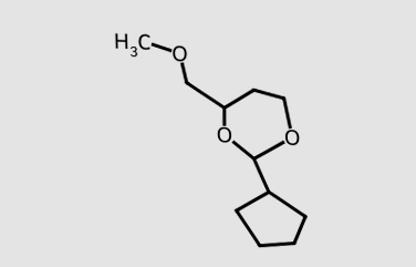 COCC1CCOC(C2CCCC2)O1